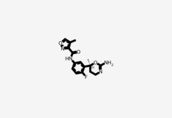 Cc1conc1C(=O)Nc1ccc(F)c([C@]2(C)CCN=C(N)O2)c1